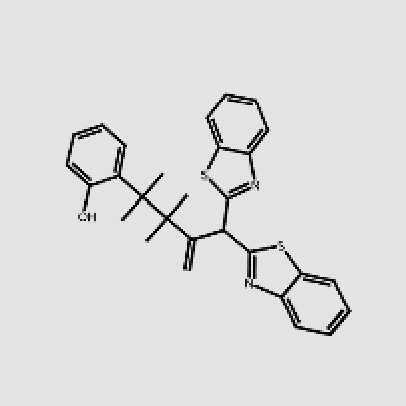 C=C(C(c1nc2ccccc2s1)c1nc2ccccc2s1)C(C)(C)C(C)(C)c1ccccc1O